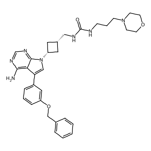 Nc1ncnc2c1c(-c1cccc(OCc3ccccc3)c1)cn2[C@H]1C[C@@H](CNC(=O)NCCCN2CCOCC2)C1